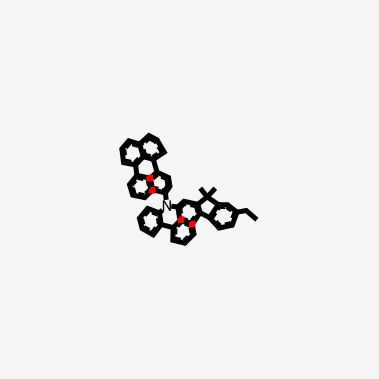 CCc1ccc2c(c1)C(C)(C)c1cc(N(c3ccc(-c4cccc5cccc(-c6ccccc6)c45)cc3)c3ccccc3-c3ccccc3)ccc1-2